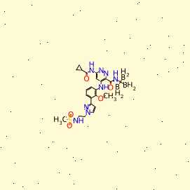 BC(B)(B)NC(=O)c1nnc(NC(=O)C2CC2)cc1Nc1cccc(-c2ccn(CCNS(C)(=O)=O)n2)c1OC